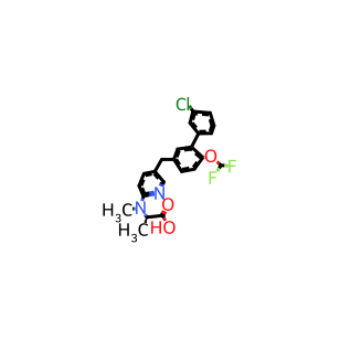 C[C@H](C(=O)O)N(C)c1ccc(Cc2ccc(OC(F)F)c(-c3cccc(Cl)c3)c2)cn1